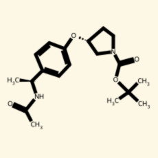 CC(=O)N[C@@H](C)c1ccc(O[C@@H]2CCN(C(=O)OC(C)(C)C)C2)cc1